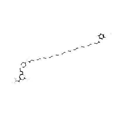 CCCN(OCC)C(=O)C1=Cc2sc(CN3CCC(NC(=O)CCOCCOCCOCCOCCOCCOCCOCCOCCOCCOCCC(=O)Oc4c(F)c(F)c(S(=O)(=O)O)c(F)c4F)CC3)cc2N=C(N)C1